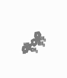 Cc1c(C2CCC(c3ccccc3)(N(C)C)CC2)[nH]c2ccncc12